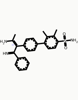 C/C(N)=C(/C(=N)c1ccccc1)c1ccc(-c2ccc(S(N)(=O)=O)c(C)c2C)cc1